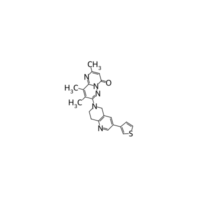 Cc1cc(=O)n2nc(N3CCc4ncc(-c5ccsc5)cc4C3)c(C)c(C)c2n1